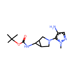 Cn1ncc(N)c1N1CC2C(C1)C2NC(=O)OC(C)(C)C